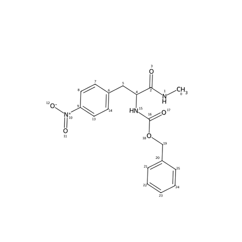 CNC(=O)C(Cc1ccc([N+](=O)[O-])cc1)NC(=O)OCc1ccccc1